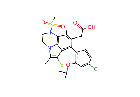 Cc1c(CC(=O)O)c(-c2ccc(Cl)cc2OC(C)(C)C)c2c(F)c(C)n3c2c1N(S(C)(=O)=O)CC3